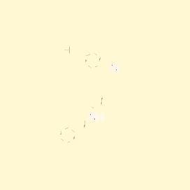 Cc1ccc(C(C2CCC(=CC(=O)NC=Cc3ccccc3)CC2)N2CCCCC2)cc1